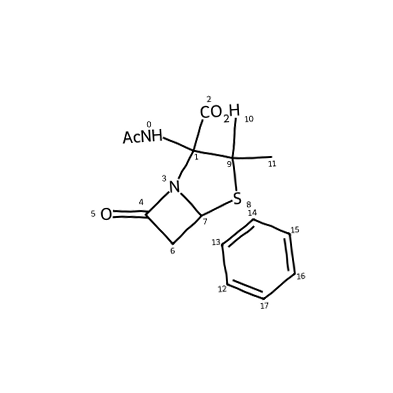 CC(=O)NC1(C(=O)O)N2C(=O)CC2SC1(C)C.c1ccccc1